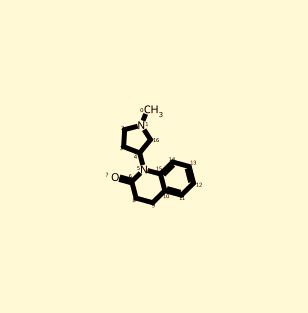 CN1CCC(N2C(=O)CCc3ccccc32)C1